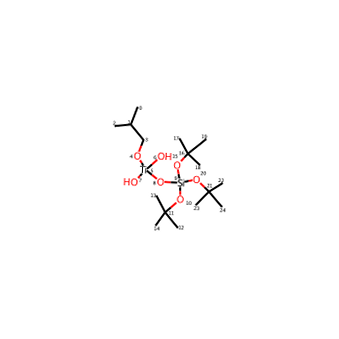 CC(C)C[O][Ti]([OH])([OH])[O][Si](OC(C)(C)C)(OC(C)(C)C)OC(C)(C)C